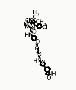 Cc1sc2c(c1C)C(c1ccc(Cl)cc1)=N[C@@H](CC(=O)Nc1ccc(OCCOCCOCCNc3ccc(-c4ccc5c(c4)CC(=O)N5)cn3)cc1)c1nnc(C)n1-2